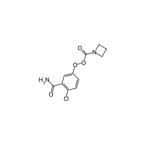 NC(=O)c1cc(OOC(=O)N2CCC2)ccc1Cl